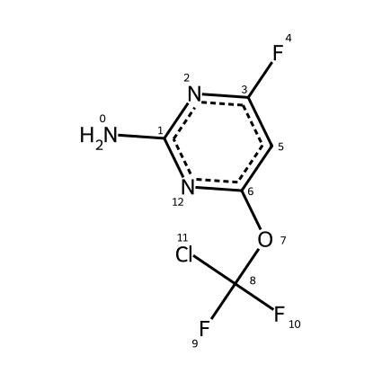 Nc1nc(F)cc(OC(F)(F)Cl)n1